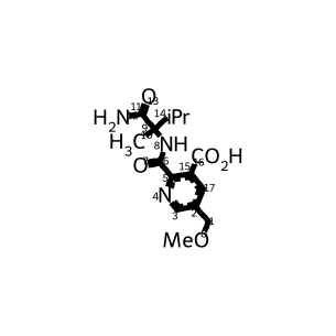 COCc1cnc(C(=O)NC(C)(C(N)=O)C(C)C)c(C(=O)O)c1